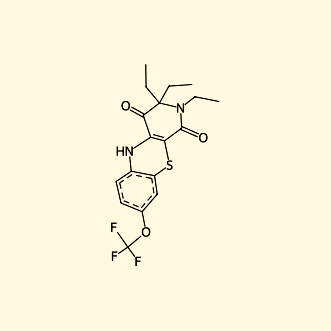 CCN1C(=O)C2=C(Nc3ccc(OC(F)(F)F)cc3S2)C(=O)C1(CC)CC